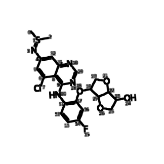 CS(C)=Nc1cc(Cl)c2c(Nc3ccc(F)cc3OC3COC4C(O)COC34)ncnc2c1